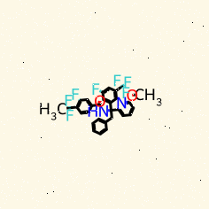 COc1cccc(C(Cc2ccccc2)(NC(=O)c2ccc(C(C)(F)F)c(F)c2)c2cc(F)cc(C(F)(F)F)c2)n1